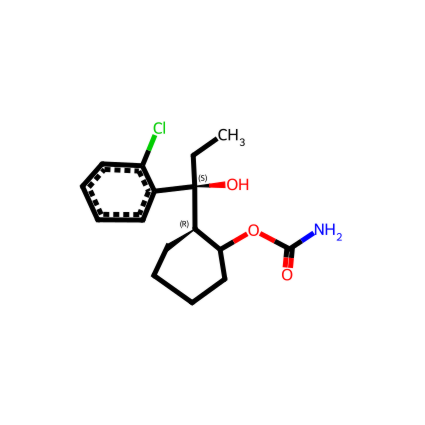 CC[C@@](O)(c1ccccc1Cl)[C@@H]1CCCCC1OC(N)=O